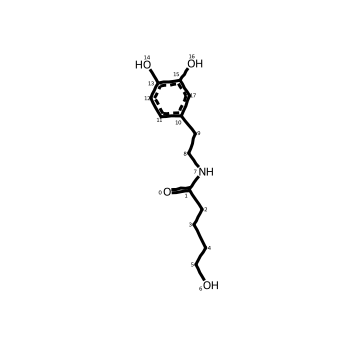 O=C(CCCCO)NCCc1ccc(O)c(O)c1